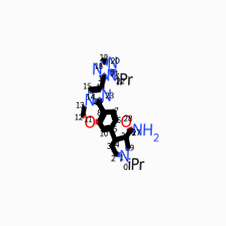 CC(C)N1CCC(c2ccc3c(c2)OCCn2cc(-c4ncnn4C(C)C)nc2-3)C(C(N)=O)C1